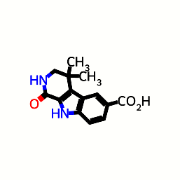 CC1(C)CNC(=O)c2[nH]c3ccc(C(=O)O)cc3c21